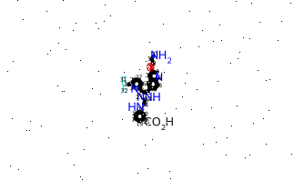 NCCOc1cnc2ccc(-c3[nH]c(CNc4cccc(C(=O)O)c4)nc3-c3cccc(C(F)F)n3)cc2c1